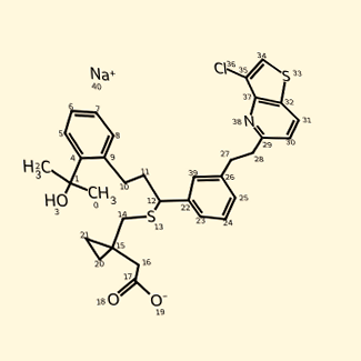 CC(C)(O)c1ccccc1CCC(SCC1(CC(=O)[O-])CC1)c1cccc(CCc2ccc3scc(Cl)c3n2)c1.[Na+]